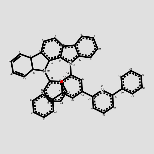 C1=CC2c3ccc4c5ccccc5n(-c5cc(-c6ccccc6)cc(-c6cccc(-c7ccccc7)n6)c5)c4c3N(c3ccccc3)C2C=C1